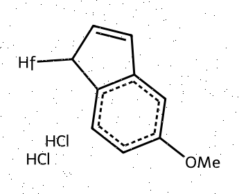 COc1ccc2c(c1)C=C[CH]2[Hf].Cl.Cl